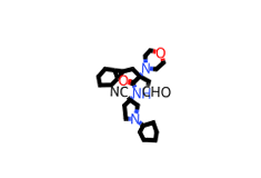 N#CC1(NC(=O)C(CC=O)(CC2C3CCCCC32)N2CCOCC2)CCN(C2CCCCC2)C1